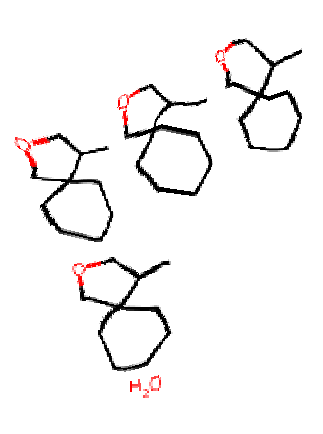 CC1COCC12CCCCC2.CC1COCC12CCCCC2.CC1COCC12CCCCC2.CC1COCC12CCCCC2.O